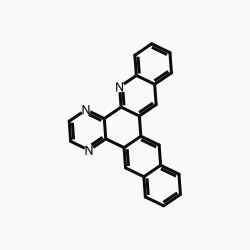 c1ccc2cc3c(cc2c1)c1cc2ccccc2nc1c1nccnc31